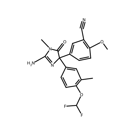 COc1ccc(C2(c3ccc(OC(F)F)c(C)c3)N=C(N)N(C)C2=O)cc1C#N